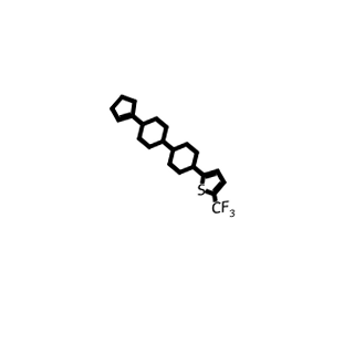 FC(F)(F)c1ccc(C2CCC(C3CCC(C4=CCCC4)CC3)CC2)s1